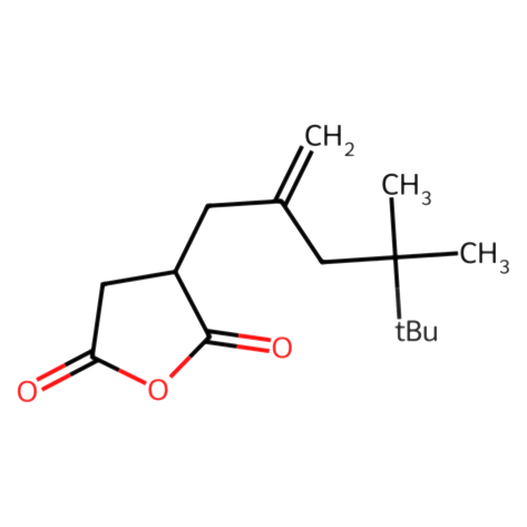 C=C(CC1CC(=O)OC1=O)CC(C)(C)C(C)(C)C